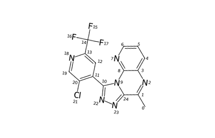 Cc1nc2cccnc2n2c(-c3cc(C(F)(F)F)ncc3Cl)nnc12